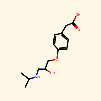 CC(C)NCC(O)COc1ccc(CC(=O)O)cc1